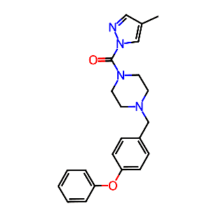 Cc1cnn(C(=O)N2CCN(Cc3ccc(Oc4ccccc4)cc3)CC2)c1